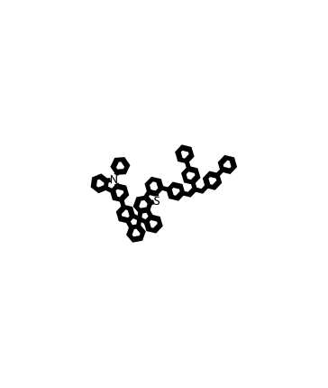 C1=C(/C(=C\c2ccc(C3=CCCc4c3sc3c5c(ccc43)C3(c4ccccc4-c4ccc(-c6ccc7c(c6)c6ccccc6n7-c6ccccc6)cc43)c3ccccc3-5)cc2)Cc2ccc(-c3ccccc3)cc2)CCC(c2ccccc2)=C1